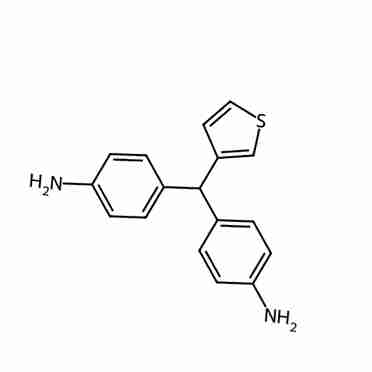 Nc1ccc(C(c2ccc(N)cc2)c2ccsc2)cc1